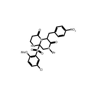 COc1ccc(Cl)cc1S(=O)(=O)C12CN(C(C)C)C(=O)C(Cc3ccc([N+](=O)[O-])cc3)N1C(=O)CCN2